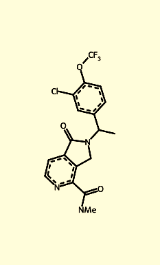 CNC(=O)c1nccc2c1CN(C(C)c1ccc(OC(F)(F)F)c(Cl)c1)C2=O